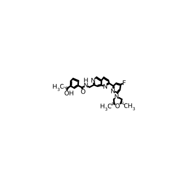 C[C@@H]1CN(c2cc(F)cc(-c3ccc4cnc(CNC(=O)c5cccc([C@@H](C)O)c5)cc4n3)n2)C[C@H](C)O1